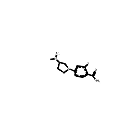 CC(=O)N(C)C1CCN(c2ccc(C(N)=O)c(F)c2)C1